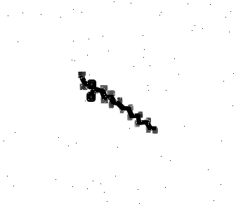 CCCCCCCCCC=CC=CC(=O)OCC